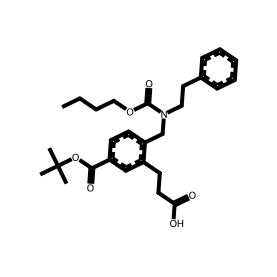 CCCCOC(=O)N(CCc1ccccc1)Cc1ccc(C(=O)OC(C)(C)C)cc1CCC(=O)O